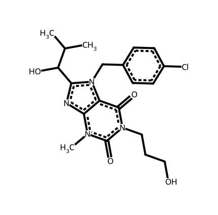 CC(C)C(O)c1nc2c(c(=O)n(CCCO)c(=O)n2C)n1Cc1ccc(Cl)cc1